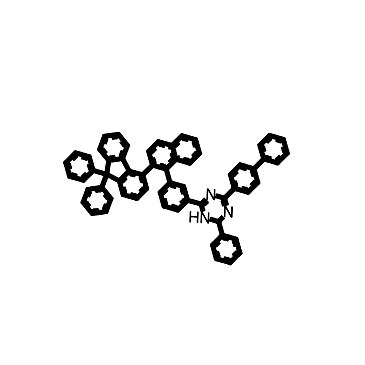 c1ccc(-c2ccc(C3=NC(c4ccccc4)NC(c4cccc(-c5c(-c6cccc7c6-c6ccccc6C7(c6ccccc6)c6ccccc6)ccc6ccccc56)c4)=N3)cc2)cc1